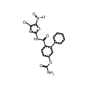 NC(=O)Oc1ccc(C(=O)Nc2nc(Cl)c([N+](=O)[O-])s2)c(-c2ccccc2)c1